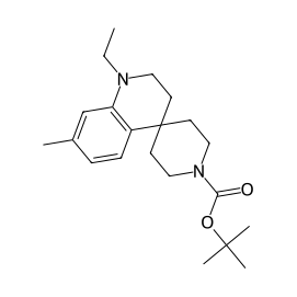 CCN1CCC2(CCN(C(=O)OC(C)(C)C)CC2)c2ccc(C)cc21